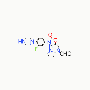 O=CN(CC1CN(c2ccc(N3CCNCC3)c(F)c2)C(=O)O1)[C@@H]1CCCN1